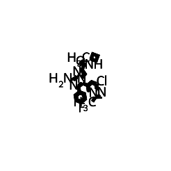 Cc1cnc2c(Cl)cc(-c3c(-c4ccc(F)cc4)nc(N)c4nc(C(=O)NC5(C)CCC5)cn34)cn12